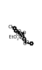 CCOC(=O)C12CN(S(=O)(=O)c3ccc4cc(Cl)ccc4c3)CC(=O)N1CC1(CCN(C(=O)OCc3ccccc3)CC1)O2